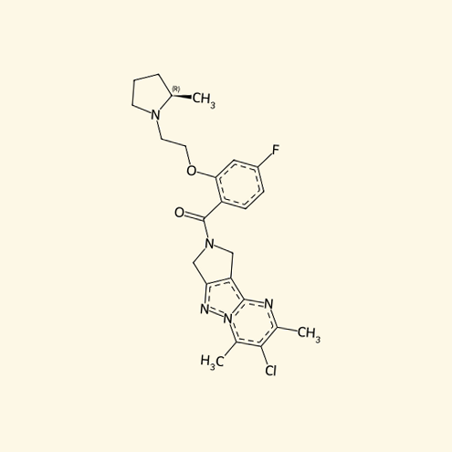 Cc1nc2c3c(nn2c(C)c1Cl)CN(C(=O)c1ccc(F)cc1OCCN1CCC[C@H]1C)C3